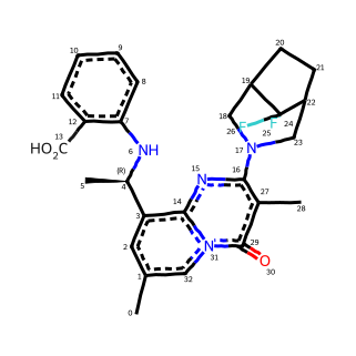 Cc1cc([C@@H](C)Nc2ccccc2C(=O)O)c2nc(N3CC4CCC(C3)C4(F)F)c(C)c(=O)n2c1